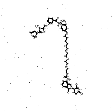 CC(NC(=O)c1cccc(NCc2nnc(-c3ccncn3)n2C)c1)c1ccc(OCCCCCCOCCOCCOCCCC(=O)Nc2cccc3c2CN(C2CCC(=O)NC2=O)C3=O)cc1